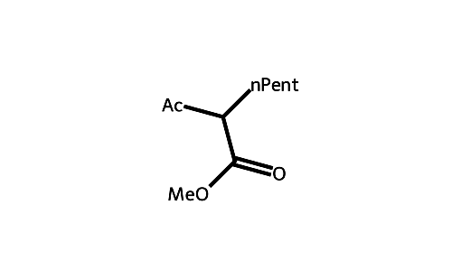 CCCCCC(C(C)=O)C(=O)OC